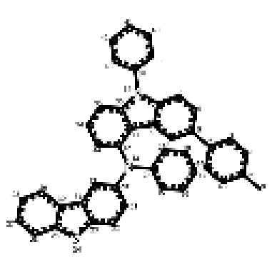 Cc1ccc(-c2ccc3c(c2)c2c(N(c4ccccc4)c4ccc5sc6ccccc6c5c4)cccc2n3-c2ccccc2)cc1